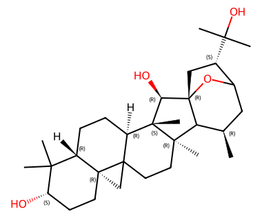 C[C@@H]1CC2O[C@]3(C[C@@H]2C(C)(C)O)C1[C@@]1(C)CCC24C[C@@]25CC[C@H](O)C(C)(C)[C@@H]5CC[C@H]4[C@]1(C)[C@H]3O